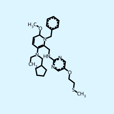 CCN(CC1CCCC1)C1=C(CNc2ncc(OCCSC)cn2)N(Cc2ccccc2)C(OC)C=C1